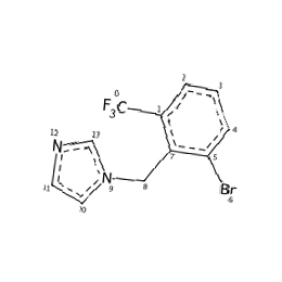 FC(F)(F)c1cccc(Br)c1Cn1ccnc1